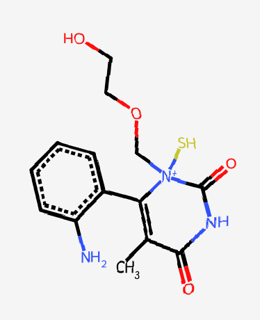 CC1=C(c2ccccc2N)[N+](S)(COCCO)C(=O)NC1=O